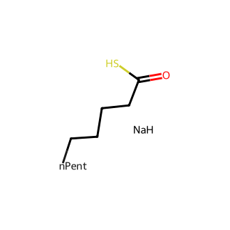 CCCCCCCCCC(=O)S.[NaH]